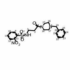 O=C(CCNS(=O)(=O)c1ccccc1[N+](=O)[O-])N1CCN(Cc2ccccc2)CC1